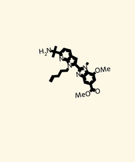 C=CCCCn1c(-c2nc3cc(C(=O)OC)cc(OC)c3n2C)cc2ccc(C(C)(C)N)nc21